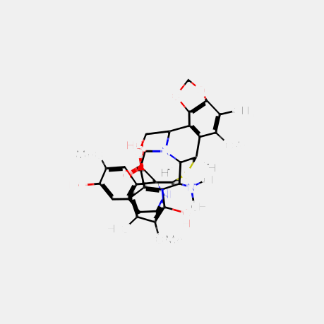 COc1cc2c(cc1O)CCN[C@]21CS[C@@H]2c3c(OC(C)=O)c(C)c4c(c3C(COC1=O)N1C(O)Cc3cc(C)c(OC)c(O)c3C(N(C)C)[C@H]21)OCO4